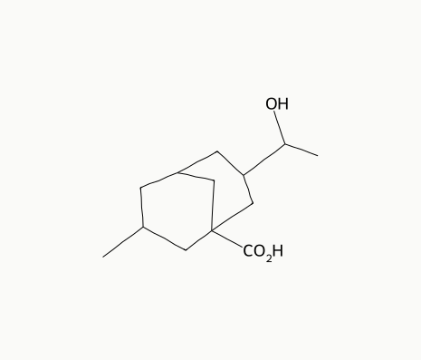 CC1CC2CC(C(C)O)CC(C(=O)O)(C1)C2